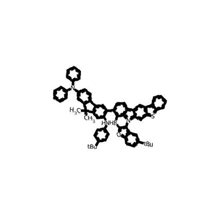 CC(C)(C)c1ccc(Nc2cc3c(cc2-c2ccc4c5cc6c(cc5n5c4c2Bc2oc4ccc(C(C)(C)C)cc4c2-5)sc2ccccc26)-c2ccc(N(c4ccccc4)c4ccccc4)cc2C3(C)C)cc1